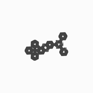 c1ccc(-c2nc(-c3ccc4c(c3)Oc3ccc5c(c3O4)-c3ccccc3C5(c3ccccc3)c3ccccc3)nc(-c3ccccn3)n2)cc1